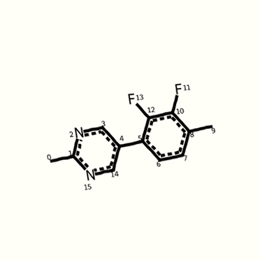 Cc1ncc(-c2ccc(C)c(F)c2F)cn1